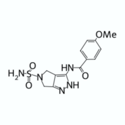 COc1ccc(C(=O)Nc2[nH]nc3c2CN(S(N)(=O)=O)C3)cc1